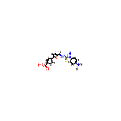 O=C(O)c1ccc(-c2ccc(C=NNC(=S)Nc3ccc([N+](=O)[O-])cc3)o2)cc1